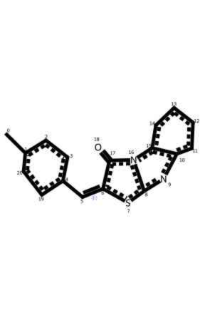 Cc1ccc(/C=c2/sc3nc4ccccc4n3c2=O)cc1